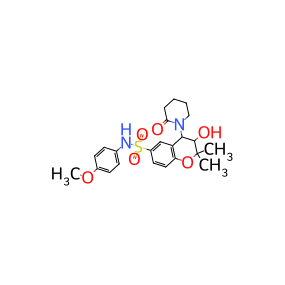 COc1ccc(NS(=O)(=O)c2ccc3c(c2)C(N2CCCCC2=O)C(O)C(C)(C)O3)cc1